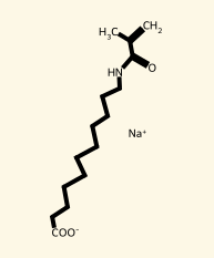 C=C(C)C(=O)NCCCCCCCCCCC(=O)[O-].[Na+]